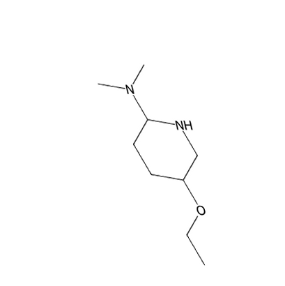 CCOC1CCC(N(C)C)NC1